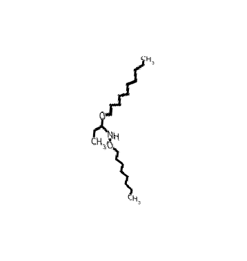 CCCCCCCCCCOC(CC)NOCCCCCCCC